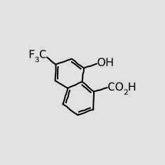 O=C(O)c1cccc2cc(C(F)(F)F)cc(O)c12